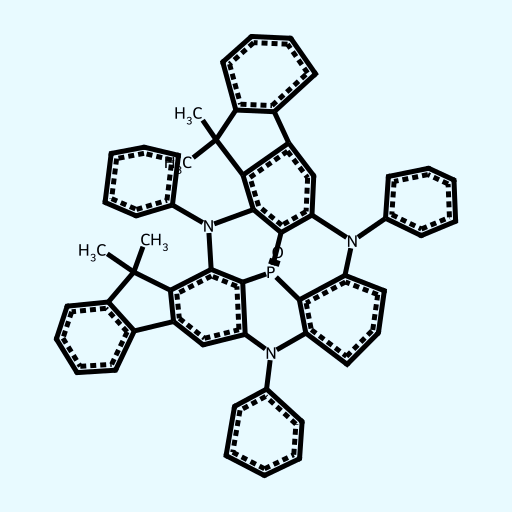 CC1(C)c2ccccc2-c2cc3c4c(c21)N(c1ccccc1)c1c2c(cc5c1P4(=O)c1c(cccc1N5c1ccccc1)N3c1ccccc1)-c1ccccc1C2(C)C